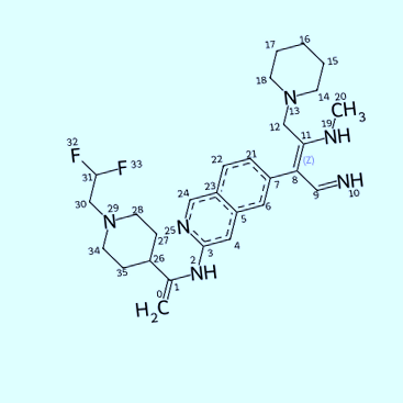 C=C(Nc1cc2cc(/C(C=N)=C(\CN3CCCCC3)NC)ccc2cn1)C1CCN(CC(F)F)CC1